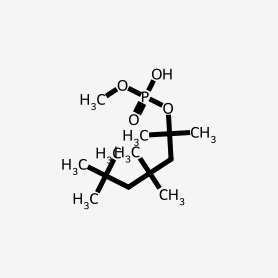 COP(=O)(O)OC(C)(C)CC(C)(C)CC(C)(C)C